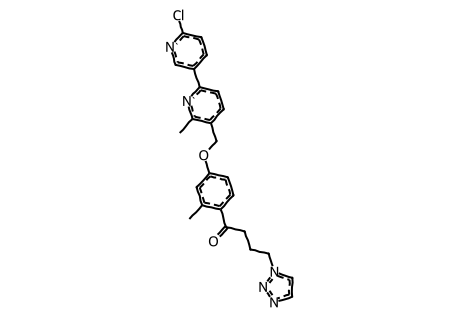 Cc1cc(OCc2ccc(-c3ccc(Cl)nc3)nc2C)ccc1C(=O)CCCn1ccnn1